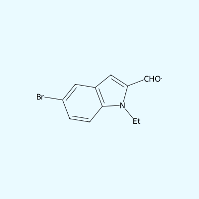 CCn1c([C]=O)cc2cc(Br)ccc21